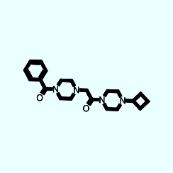 O=C(CN1CCN(C(=O)c2ccccc2)CC1)N1CCN(C2CCC2)CC1